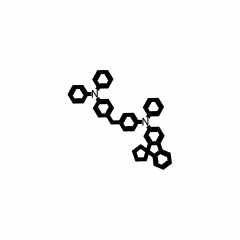 c1ccc(N(c2ccccc2)c2ccc(Cc3ccc(N(c4ccccc4)c4ccc5c(c4)C4(CCCC4)c4ccccc4-5)cc3)cc2)cc1